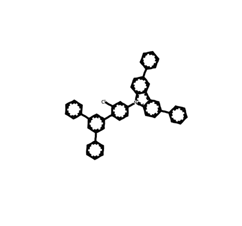 Clc1cc(-n2c3ccc(-c4ccccc4)cc3c3cc(-c4ccccc4)ccc32)ccc1-c1cc(-c2ccccc2)cc(-c2ccccc2)c1